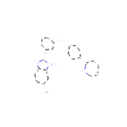 Fc1cccnc1-c1ccc(Nc2cccc(-c3nc4ccc(C(F)(F)F)cc4[nH]3)c2)cc1